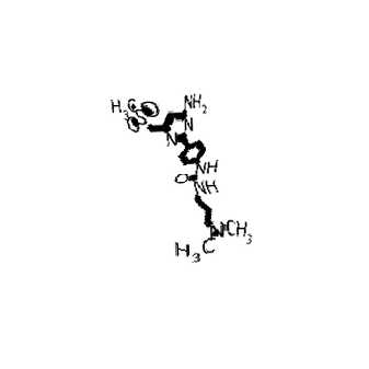 CN(C)CCCNC(=O)Nc1ccc(-c2nc(N)cc(CS(C)(=O)=O)n2)cc1